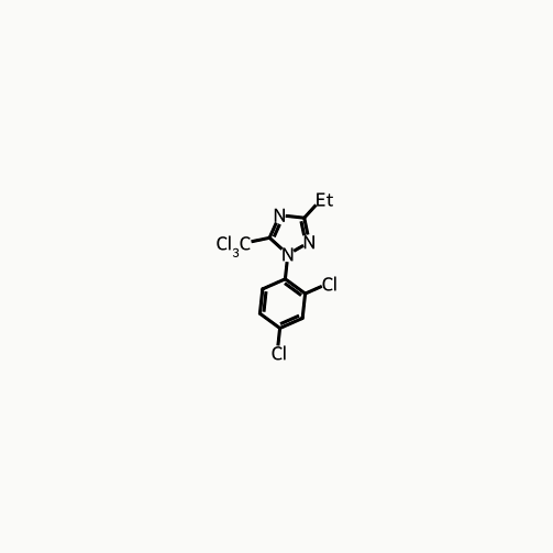 [CH2]Cc1nc(C(Cl)(Cl)Cl)n(-c2ccc(Cl)cc2Cl)n1